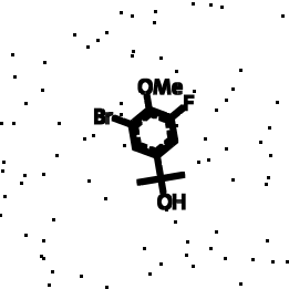 COc1c(F)cc(C(C)(C)O)cc1Br